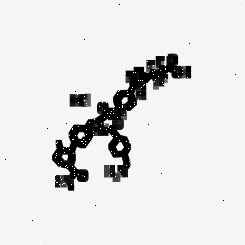 CNC(=O)c1ccc(C)c(-c2ccc(C[C@H](NC(=O)C3CCC(CN)CC3)C(=O)Nc3ccc(-c4nnc(C(F)(F)C(F)(F)C(=O)O)[nH]4)cc3)cc2)c1.Cl